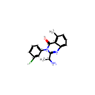 Cc1cccc2nc([C@H](C)N)n(-c3cccc(F)c3)c(=O)c12